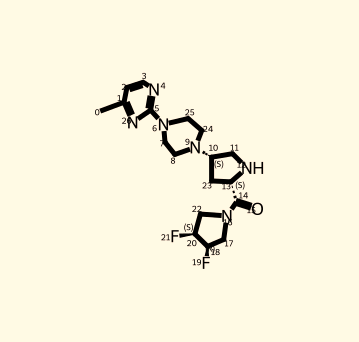 Cc1ccnc(N2CCN([C@@H]3CN[C@H](C(=O)N4C[C@@H](F)[C@@H](F)C4)C3)CC2)n1